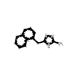 Cc1nnc(Cc2cccc3ccccc23)[nH]1